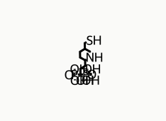 O=P(O)(O)C(O)(CCC1CCC(CS)CN1)P(=O)(O)O